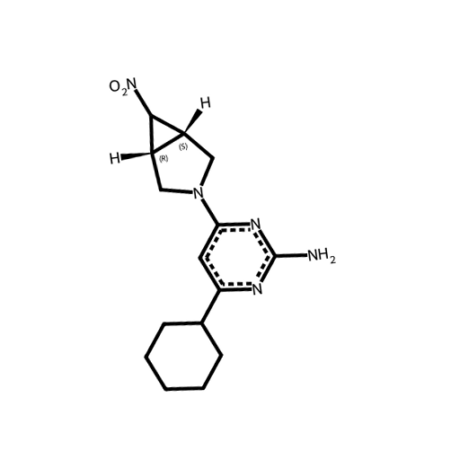 Nc1nc(C2CCCCC2)cc(N2C[C@@H]3C([N+](=O)[O-])[C@@H]3C2)n1